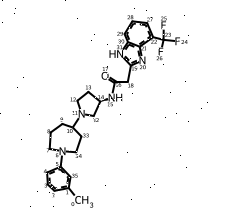 Cc1cccc(N2CCCC(N3CC[C@@H](NC(=O)Cc4nc5c(C(F)(F)F)cccc5[nH]4)C3)CC2)c1